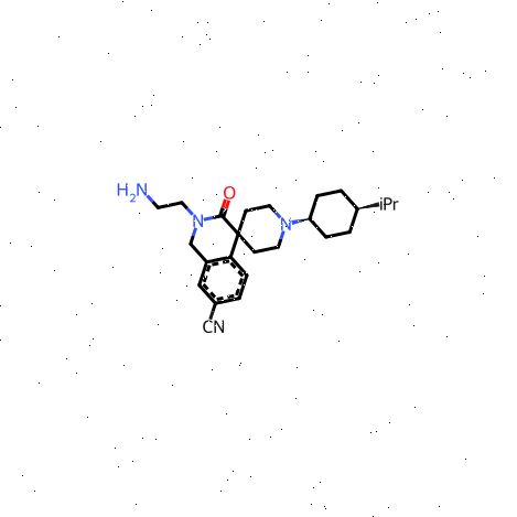 CC(C)[C@H]1CC[C@@H](N2CCC3(CC2)C(=O)N(CCN)Cc2cc(C#N)ccc23)CC1